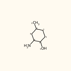 CC1CCC(O)C(N)C1